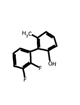 Cc1cccc(O)c1-c1cccc(F)c1F